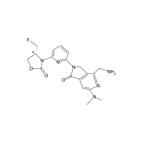 CN(C)c1cc2c(c(CN)n1)CN(c1cccc(N3C(=O)OC[C@@H]3CF)n1)C2=O